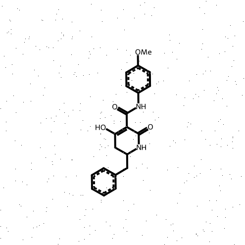 COc1ccc(NC(=O)C2=C(O)CC(Cc3ccccc3)NC2=O)cc1